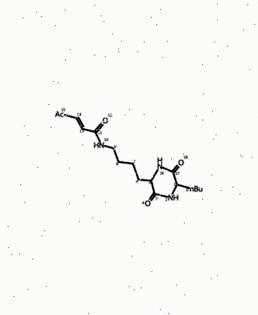 CCCCC1NC(=O)C(CCCCNC(=O)/C=C/C(C)=O)NC1=O